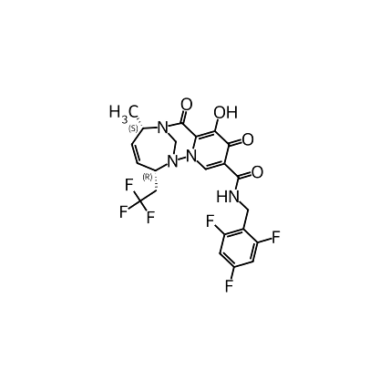 C[C@H]1C=C[C@@H](CC(F)(F)F)N2CN1C(=O)c1c(O)c(=O)c(C(=O)NCc3c(F)cc(F)cc3F)cn12